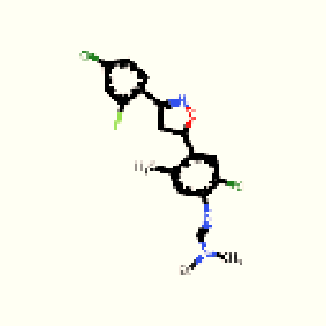 CCN(C)C=Nc1cc(C)c(C2CC(c3ccc(Cl)cc3F)=NO2)cc1Cl